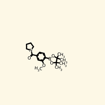 COc1cc(C(=O)N2CCCC2)ccc1B1OC(C)(C)C(C)(C)O1